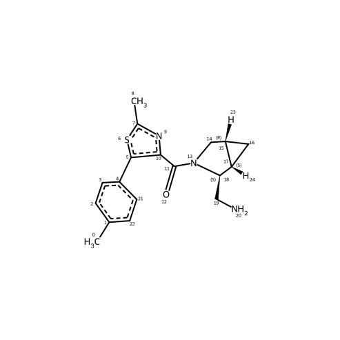 Cc1ccc(-c2sc(C)nc2C(=O)N2C[C@@H]3C[C@@H]3[C@H]2CN)cc1